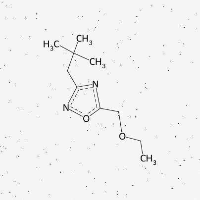 CCOCc1nc(CC(C)(C)C)no1